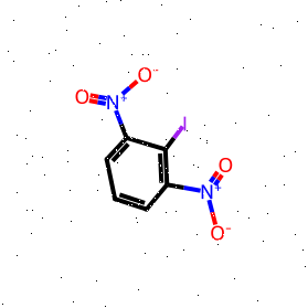 O=[N+]([O-])c1cccc([N+](=O)[O-])c1I